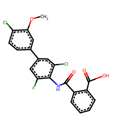 COc1cc(-c2cc(F)c(NC(=O)c3ccccc3C(=O)O)c(Cl)c2)ccc1Cl